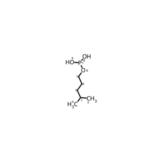 CC(C)CCCOP(O)O